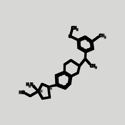 COc1cc(C)cc(C(C)C2CCc3cc([C@H]4CC[C@](N)(CO)C4)ccc3C2)c1